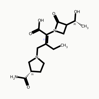 CC/C(CN1CC[C@H](C(N)=O)C1)=C(/C(=O)O)N1CC([C@@H](C)O)C1=O